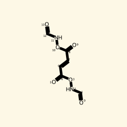 O=CNOC(=O)/C=C/C(=O)ONC=O